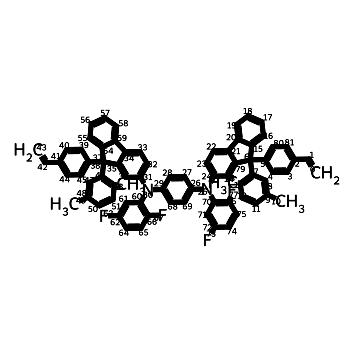 C=Cc1ccc(C2(c3cc(C)ccc3C)c3ccccc3-c3ccc(N(c4ccc(N(c5ccc6c(c5)C(c5ccc(C=C)cc5)(c5cc(C)ccc5C)c5ccccc5-6)c5cc(F)ccc5F)cc4)c4cc(F)ccc4F)cc32)cc1